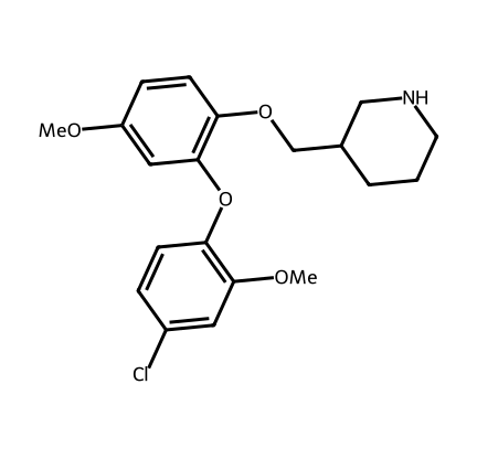 COc1ccc(OCC2CCCNC2)c(Oc2ccc(Cl)cc2OC)c1